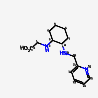 O=C(O)CNC1CCCC[C@@H]1NCc1ccccn1